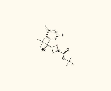 CC(C)(C)OC(=O)N1CC(C(O)(c2cc(F)cc(F)c2)C(C)(C)C)C1